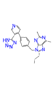 CCCc1nc2c(C)nc(C)nc2n1Cc1ccc(-c2ccncc2-c2nnn[nH]2)cc1